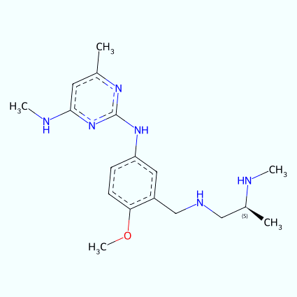 CNc1cc(C)nc(Nc2ccc(OC)c(CNC[C@H](C)NC)c2)n1